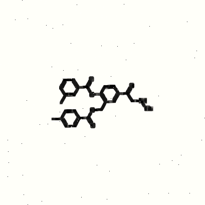 Cc1ccc(C(=O)OCc2cc(C(=O)CNC(C)(C)C)ccc2OC(=O)c2cccc(C)c2)cc1